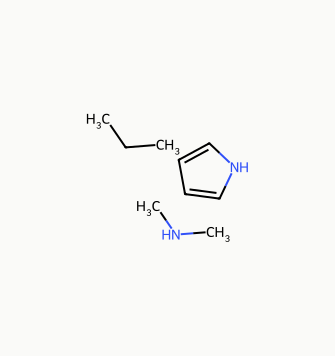 CCC.CNC.c1cc[nH]c1